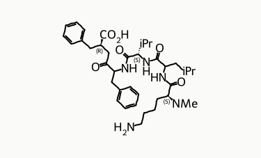 CN[C@@H](CCCCN)C(=O)NC(CC(C)C)C(=O)N[C@H](C(=O)NC(Cc1ccccc1)C(=O)C[C@@H](Cc1ccccc1)C(=O)O)C(C)C